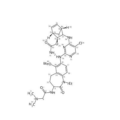 CCN1C(=O)C(NC(=O)CN(C)C)CCc2c1ccc(Nc1ncc(Cl)c(NC3[C@@H](OC(N)=O)[C@@H]4C=C[C@H]3C4)n1)c2OC